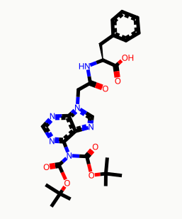 CC(C)(C)OC(=O)N(C(=O)OC(C)(C)C)c1ncnc2c1ncn2CC(=O)N[C@@H](Cc1ccccc1)C(=O)O